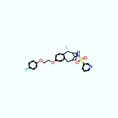 C[C@H]1c2ccc(OCCOc3ccc(F)cc3)cc2CC2CCC1C2NS(=O)(=O)c1cccnc1